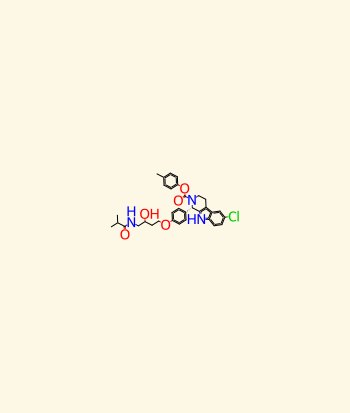 Cc1ccc(OC(=O)N2CCc3c([nH]c4ccc(Cl)cc34)[C@@H]2c2ccc(OCCC(O)CNC(=O)C(C)C)cc2)cc1